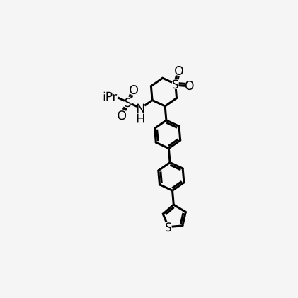 CC(C)S(=O)(=O)NC1CCS(=O)(=O)CC1c1ccc(-c2ccc(-c3ccsc3)cc2)cc1